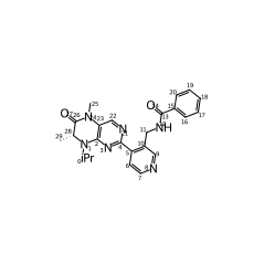 CC(C)N1c2nc(-c3ccncc3CNC(=O)c3ccccc3)ncc2N(C)C(=O)[C@H]1C